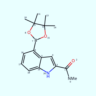 CNC(=O)c1cc2c(B3OC(C)(C)C(C)(C)O3)cccc2[nH]1